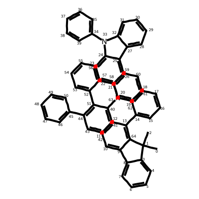 CC1(C)c2ccccc2-c2cccc(-c3ccccc3N(c3ccc4c(c3)c3ccccc3n4-c3ccccc3)c3cccc(-c4ccccc4)c3-c3ccccc3-c3ccccc3)c21